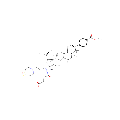 C=C(C)[C@@H]1CC[C@]2(CN(CCCN3CCS(=O)(=O)CC3)C(=O)CCC(=O)O)CC[C@]3(C)[C@H](CC[C@@H]4[C@@]5(C)CC=C(c6ccc(C(=O)OC)cc6)C(C)(C)[C@@H]5CC[C@]43C)[C@@H]12